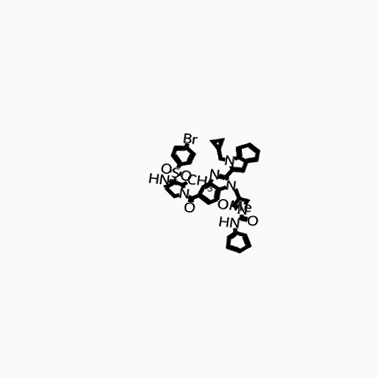 COc1cc(C(=O)N2CC3N[C@]3(S(=O)(=O)c3ccc(Br)cc3)C2C)cc2nc(-c3cc4ccccc4n3CC3CC3)n(CC3CN(C(=O)Nc4ccccc4)C3)c12